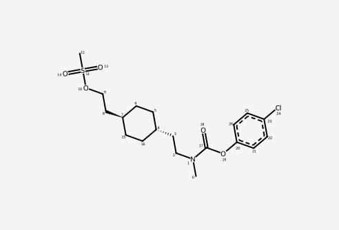 CN(CC[C@H]1CC[C@H](CCOS(C)(=O)=O)CC1)C(=O)Oc1ccc(Cl)cc1